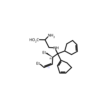 CC/C=C\[C@@H](CC)C(NCC(N)C(=O)O)(C1=CC=CCC1)C1CC=CCC1